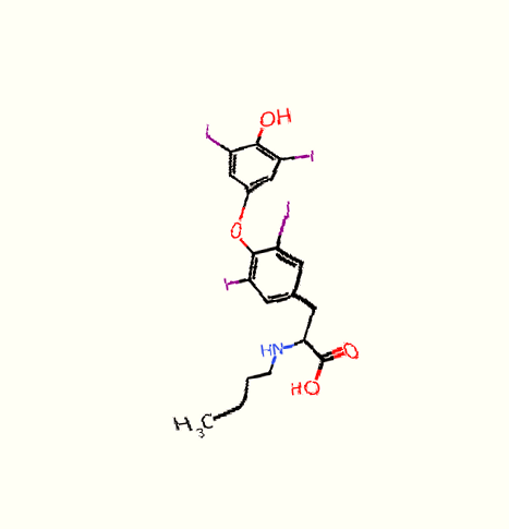 CCCCNC(Cc1cc(I)c(Oc2cc(I)c(O)c(I)c2)c(I)c1)C(=O)O